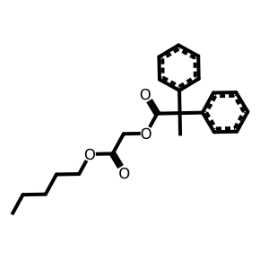 CCCCCOC(=O)COC(=O)C(C)(c1ccccc1)c1ccccc1